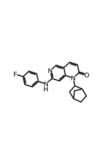 O=c1ccc2cnc(Nc3ccc(F)cc3)cc2n1C1CC2CCC1C2